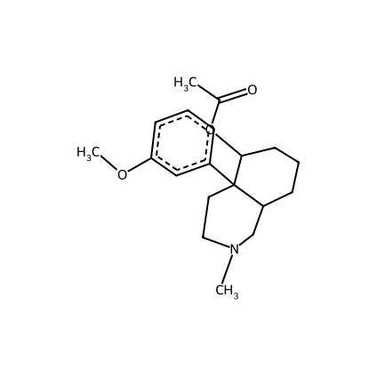 COc1cccc(C23CCN(C)CC2CCCC3OC(C)=O)c1